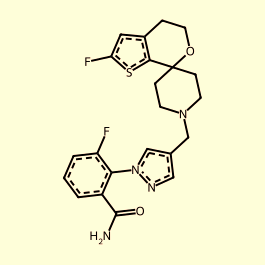 NC(=O)c1cccc(F)c1-n1cc(CN2CCC3(CC2)OCCc2cc(F)sc23)cn1